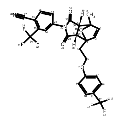 CC12C=CC(CCOc3ccc(C(F)(F)F)cc3)(O1)[C@@H]1C(=O)N(c3ccc(C#N)c(C(F)(F)F)c3)C(=O)[C@@H]12